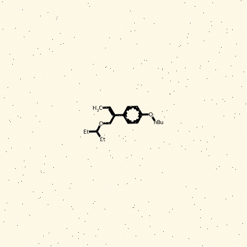 C/C=C(\COC(CC)CC)c1ccc(OCCCC)cc1